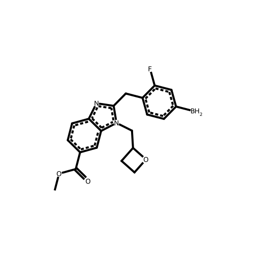 Bc1ccc(Cc2nc3ccc(C(=O)OC)cc3n2CC2CCO2)c(F)c1